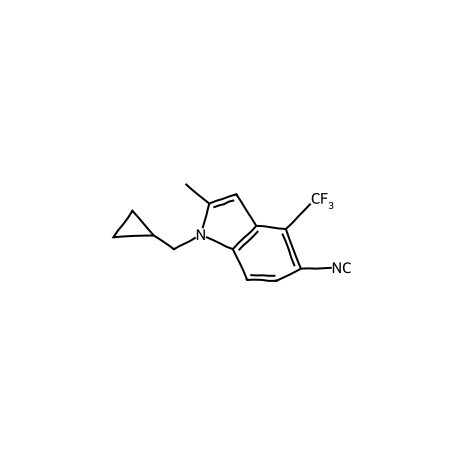 [C-]#[N+]c1ccc2c(cc(C)n2CC2CC2)c1C(F)(F)F